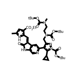 CCOC(=O)c1cc(C)[nH]c1/C=C1\C(=O)Nc2cnc(-c3c(CN(CCN(C)C(=O)OC(C)(C)C)C(=O)OC(C)(C)C)nn(C(=O)OC(C)(C)C)c3C3CC3)cc21